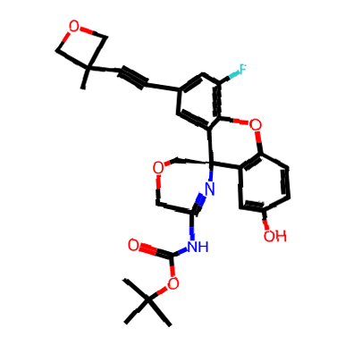 CC1(C#Cc2cc(F)c3c(c2)[C@]2(COCC(NC(=O)OC(C)(C)C)=N2)c2cc(O)ccc2O3)COC1